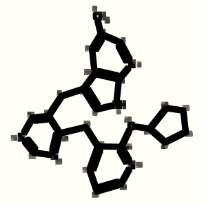 Cc1cnc2[nH]cc(Cc3cn[c]nc3Cc3cccnc3OC3CCCC3)c2c1